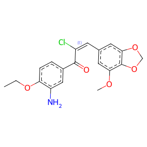 CCOc1ccc(C(=O)/C(Cl)=C\c2cc(OC)c3c(c2)OCO3)cc1N